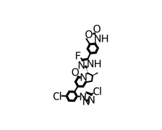 C[C@H]1Cc2cc(-c3cc(Cl)ccc3-n3cc(Cl)nn3)cc(=O)n2[C@@H]1c1nc(F)c(-c2ccc3c(c2)COC(=O)N3)[nH]1